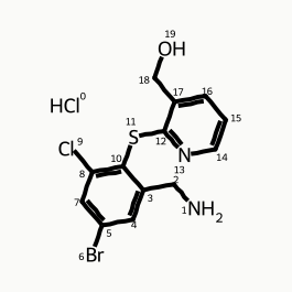 Cl.NCc1cc(Br)cc(Cl)c1Sc1ncccc1CO